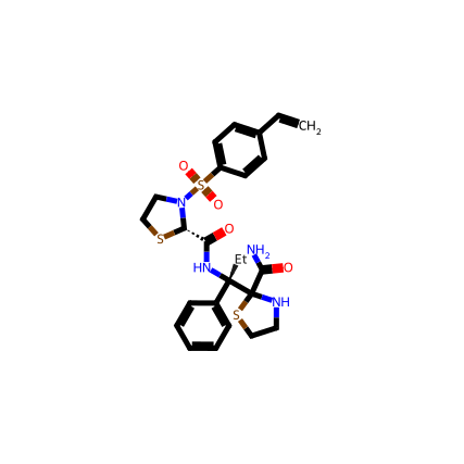 [CH2]C[C@](NC(=O)[C@@H]1SCCN1S(=O)(=O)c1ccc(C=C)cc1)(c1ccccc1)C1(C(N)=O)NCCS1